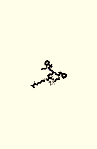 CCCN1/C(=C/C=C(/C=C/C2=[N+](CCCS(=O)(=O)O)c3ccccc3C2(C)C)c2ccc(C(=O)NCCCCCC(=O)C(C)C)cn2)C(C)(C)c2ccccc21